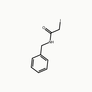 O=C(CI)NCc1ccccc1